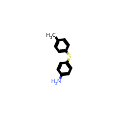 Cc1ccc(Sc2ccc(N)cc2)cc1